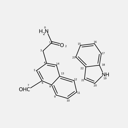 NC(=O)Cc1cc(C=O)c2ccccc2c1.c1ccc2[nH]ccc2c1